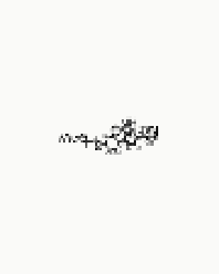 COCCOC1CCC(c2ccc(-c3cncs3)nc2C(N)=O)CC1